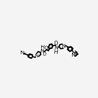 N#Cc1ccc(CN2CCC(NC(=O)c3cc4cc(C(=O)NC5CCN(Cc6ccc(-n7cccn7)cc6)CC5)ccc4o3)CC2)cc1